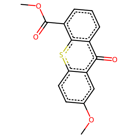 COC(=O)c1cccc2c(=O)c3cc(OC)ccc3sc12